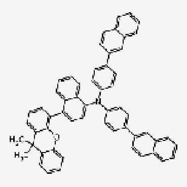 CC1(C)c2ccccc2Oc2c(-c3ccc(N(c4ccc(-c5ccc6ccccc6c5)cc4)c4ccc(-c5ccc6ccccc6c5)cc4)c4ccccc34)cccc21